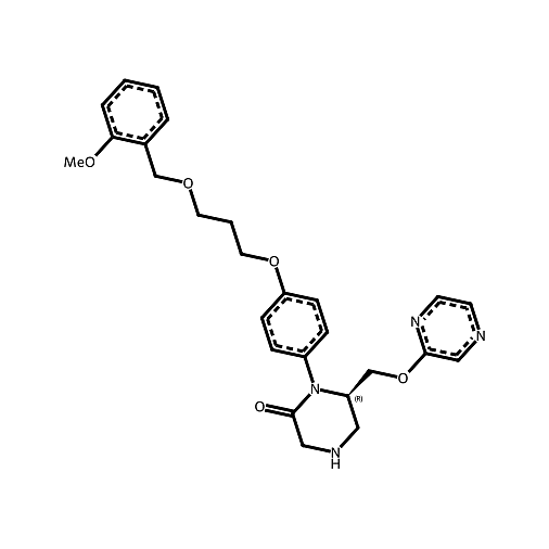 COc1ccccc1COCCCOc1ccc(N2C(=O)CNC[C@@H]2COc2cnccn2)cc1